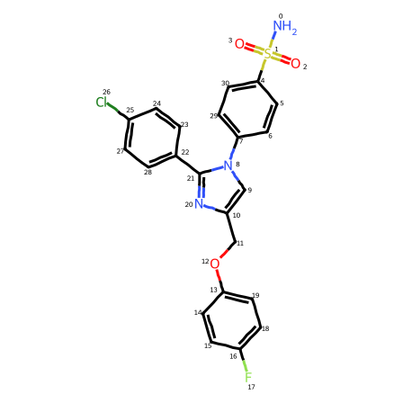 NS(=O)(=O)c1ccc(-n2cc(COc3ccc(F)cc3)nc2-c2ccc(Cl)cc2)cc1